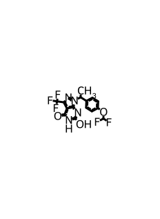 CC(c1ccc(OC(F)F)cc1)n1nc(C(F)(F)F)c2c(=O)[nH]c(O)nc21